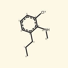 CCCc1cccc(Cl)c1NC